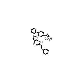 O=C(CCc1ccccc1)Nc1c(F)cnn1-c1cc(C2(C(=O)O)CC2)ccc1-c1ccccc1